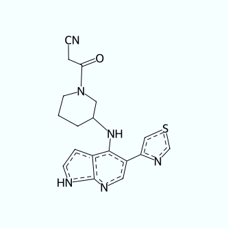 N#CCC(=O)N1CCCC(Nc2c(-c3cscn3)cnc3[nH]ccc23)C1